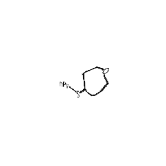 [CH2]CCSC1CCOCC1